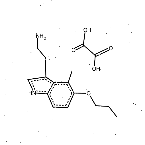 CCCOc1ccc2[nH]cc(CCN)c2c1C.O=C(O)C(=O)O